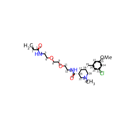 C=CC(=O)NCCOCCOCCNC(=O)[C@@H]1C[C@H](Cc2cc(Cl)cc(OC)c2)CN(C)C1